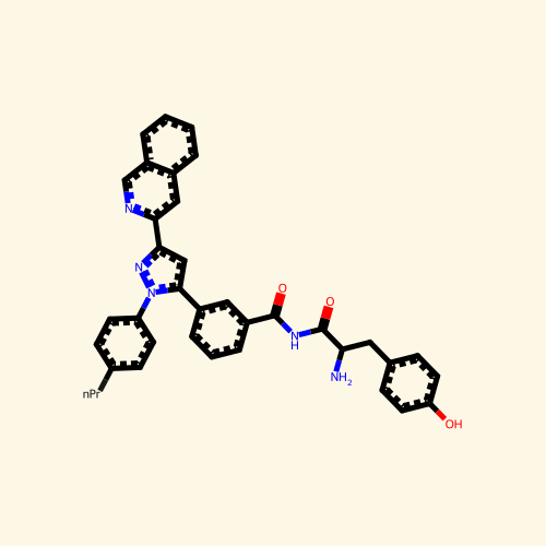 CCCc1ccc(-n2nc(-c3cc4ccccc4cn3)cc2-c2cccc(C(=O)NC(=O)C(N)Cc3ccc(O)cc3)c2)cc1